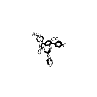 CC(=O)N1CCN(c2nc(=O)n3c4c(c(-c5ccc(F)cc5)c(C(F)(F)F)cc24)SCC(N2CCOCC2)C3)CC1